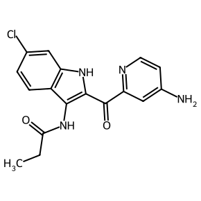 CCC(=O)Nc1c(C(=O)c2cc(N)ccn2)[nH]c2cc(Cl)ccc12